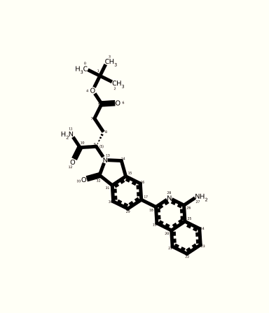 CC(C)(C)OC(=O)CC[C@@H](C(N)=O)N1Cc2cc(-c3cc4ccccc4c(N)n3)ccc2C1=O